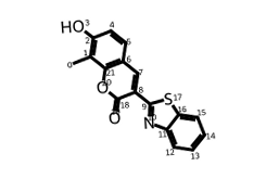 Cc1c(O)ccc2cc(-c3nc4ccccc4s3)c(=O)oc12